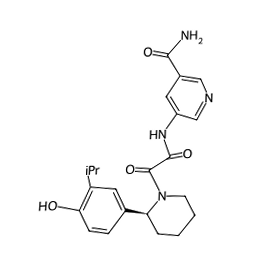 CC(C)c1cc([C@@H]2CCCCN2C(=O)C(=O)Nc2cncc(C(N)=O)c2)ccc1O